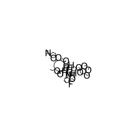 CC[C@H]1CCC[C@H](O[C@H]2CC[C@H](N(C)C)[C@@H](C)O2)[C@@H](C)C(=O)C2=C[C@H]3[C@@H]4C[C@H](O[C@@H]5O[C@@H](C)[C@H](OC)[C@@H](OC)[C@H]5OC)C[C@H]4[C@H]4[C@@H]([C@H]3[C@@H]2CC(=O)O1)N4c1cccc(F)c1OC